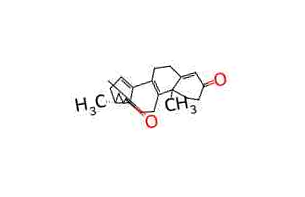 CC12CCC(=O)C=C1CCC1=C2CCC23C(=O)CC[C@]2(C)CC=C13